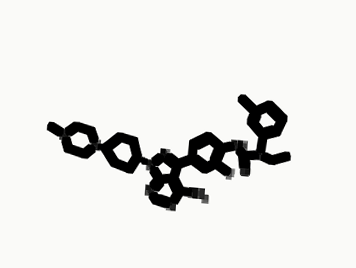 CCN(C(=O)Nc1ccc(-c2nn([C@H]3CC[C@@H](N4CCN(C)CC4)CC3)c3ncnc(N)c23)cc1F)c1cccc(C)c1